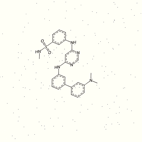 CNS(=O)(=O)c1cccc(Nc2cc(Nc3cccc(-c4cccc(N(C)C)c4)c3)ncn2)c1